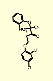 CC(C#N)(Oc1ccccc1[N+](=O)[O-])C(=O)CCOc1ccc(Cl)cc1Cl